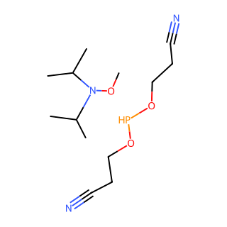 CON(C(C)C)C(C)C.N#CCCOPOCCC#N